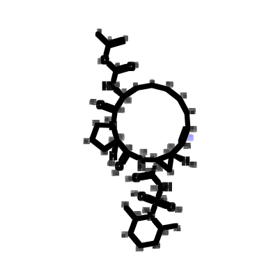 C=C(C)OC(=O)N[C@H]1CCCCC/C=C\[C@@H]2C[C@@]2(C(=O)NS(=O)(=O)N2C(C)CCCC2C)NC(=O)[C@@H]2CCCN2C1=O